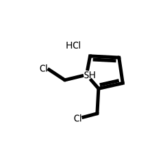 Cl.ClCC1=CC=C[SH]1CCl